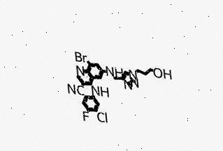 N#Cc1cnc2c(Br)cc(NCc3cn(CCCO)nn3)cc2c1Nc1ccc(F)c(Cl)c1